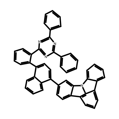 c1ccc(-c2nc(-c3ccccc3)nc(-c3ccccc3-c3ccc(-c4ccc5c6cccc7c8ccccc8n(c5c4)c76)c4ccccc34)n2)cc1